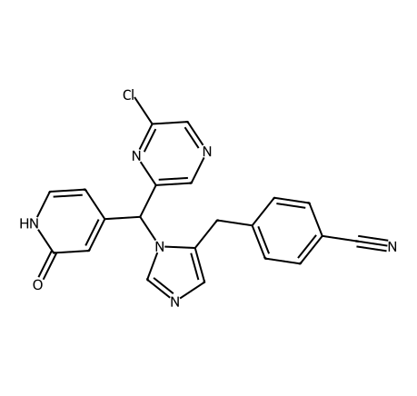 N#Cc1ccc(Cc2cncn2C(c2cc[nH]c(=O)c2)c2cncc(Cl)n2)cc1